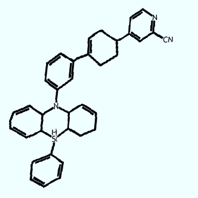 N#Cc1cc(C2CC=C(c3cccc(N4C5C=CC=CC5[SiH](c5ccccc5)C5CCC=CC54)c3)CC2)ccn1